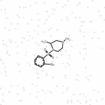 CC1CN(C)CCN1S(=O)(=O)c1ccccc1C(C)(C)C